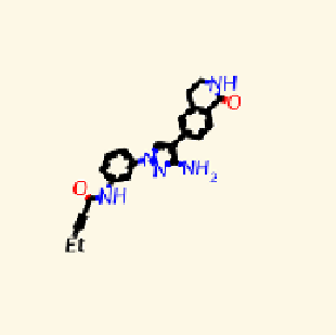 CCC#CC(=O)Nc1cccc(-n2cc(-c3ccc4c(c3)CCNC4=O)c(N)n2)c1